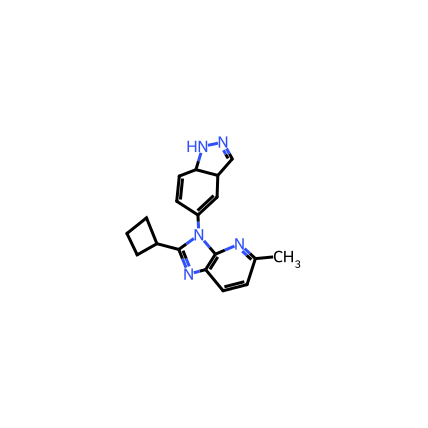 Cc1ccc2nc(C3CCC3)n(C3=CC4C=NNC4C=C3)c2n1